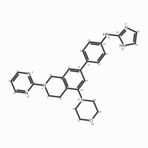 c1cnc(N2CCc3c(cc(-c4ccc(Nc5ncc[nH]5)cc4)cc3N3CCOCC3)C2)nc1